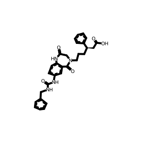 O=C(O)C[C@@H](CCCN1CC(=O)Nc2ccc(NC(=O)NCc3ccccc3)cc2C1=O)c1ccccc1